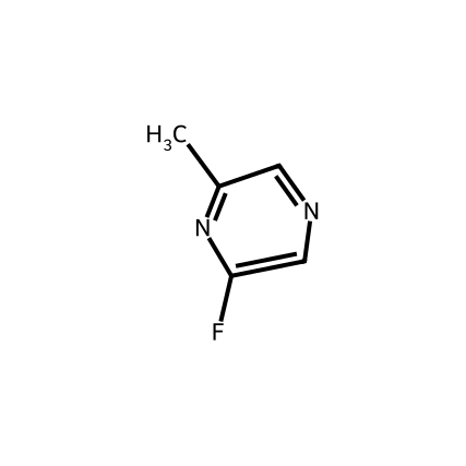 Cc1cncc(F)n1